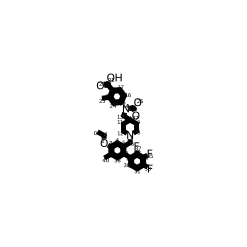 CCOc1cc(CN2CCC3(CC2)CN(c2ccc(C(=O)O)c(C)c2)C(=O)O3)c(-c2ccc(F)c(F)c2F)cc1C